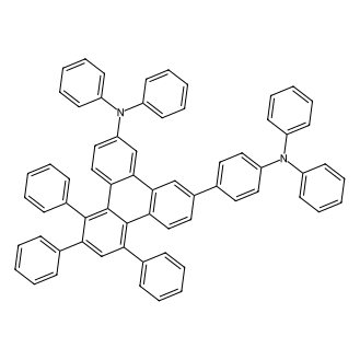 c1ccc(-c2cc(-c3ccccc3)c3c4ccc(-c5ccc(N(c6ccccc6)c6ccccc6)cc5)cc4c4cc(N(c5ccccc5)c5ccccc5)ccc4c3c2-c2ccccc2)cc1